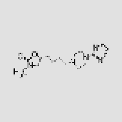 CN1CC(CCCCN2CCN(c3ncccn3)CC2)OC1=O